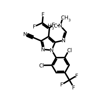 CN(C)/C=N\c1c(C(F)=C(F)F)c(C#N)nn1-c1c(Cl)cc(C(F)(F)F)cc1Cl